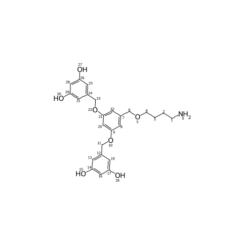 NCCCCOCc1cc(OCc2cc(O)cc(O)c2)cc(OCc2cc(O)cc(O)c2)c1